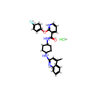 Cc1cc(NC2CCC(NC(=O)c3cccnc3Oc3ccc(F)cc3)CC2)nc2ccccc12.Cl